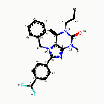 C=C1c2c(nc(-c3ccc(C(F)F)cc3)n2Cc2ccccc2)N(C)C(=O)N1CCC